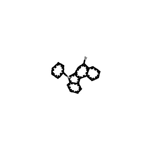 Brc1cc2c(c3ccccc13)c1ccccc1n2-c1ccccc1